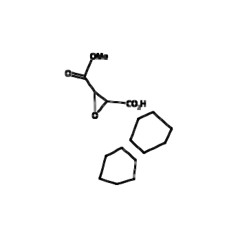 C1CCCCC1.C1CCCCC1.COC(=O)C1OC1C(=O)O